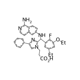 CCOc1cc(CC)cc(C(Nc2ccc3c(N)nccc3c2)c2nc(-c3ccccc3)cn2CCC(=O)O)c1F